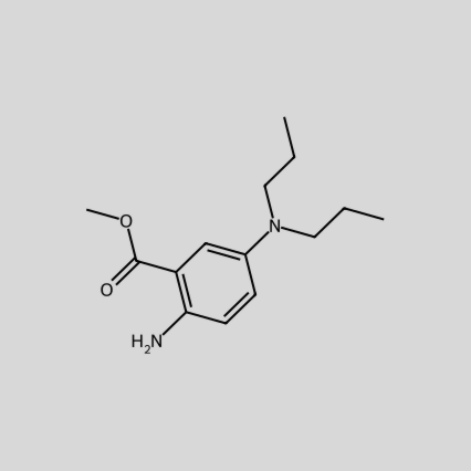 CCCN(CCC)c1ccc(N)c(C(=O)OC)c1